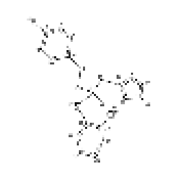 CC(CCc1ccc(F)cc1)(Cn1ccnc1)Sc1ccccc1C(F)(F)F